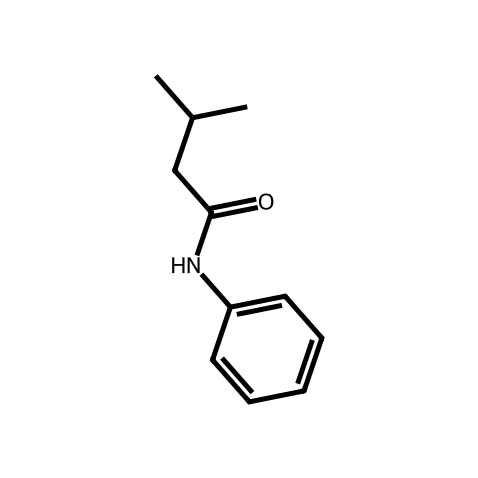 CC(C)CC(=O)Nc1ccccc1